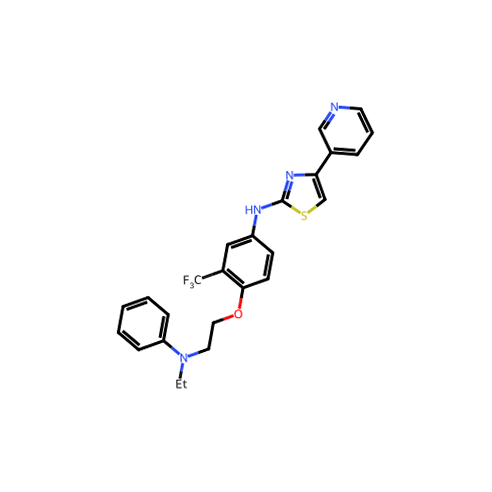 CCN(CCOc1ccc(Nc2nc(-c3cccnc3)cs2)cc1C(F)(F)F)c1ccccc1